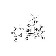 CC(C)(C)OC(=O)N1[C@@H]2C[C@@H]2C[C@H]1C(=O)Nc1cccc(Cl)n1